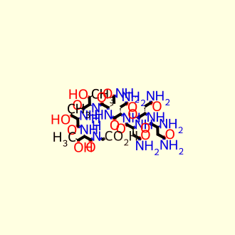 C[C@@H](O)[C@H](NC(=O)[C@H](CC(N)=O)NC(=O)[C@H](CC(N)=O)NC(=O)[C@H](CC(N)=O)NC(=O)[C@H](CC(N)=O)NC(=O)[C@@H](N)CC(N)=O)C(=O)N[C@H](C(=O)N[C@H](C(=O)NCC(=O)O)[C@@H](C)O)[C@@H](C)O